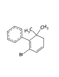 CC1(C)CC=CC(Br)=C1c1ccccc1